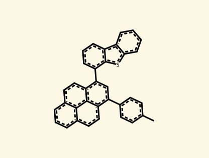 Cc1ccc(-c2cc(-c3cccc4c3sc3ccccc34)c3ccc4cccc5ccc2c3c54)cc1